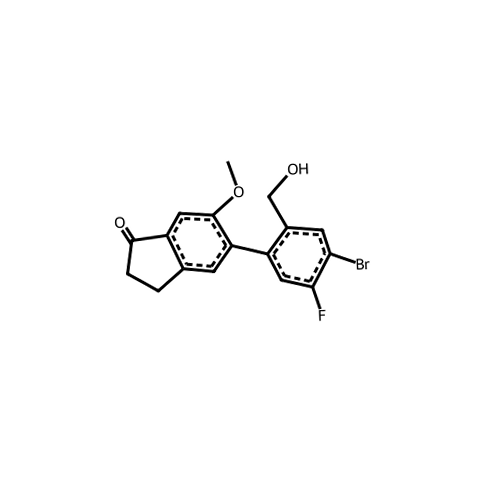 COc1cc2c(cc1-c1cc(F)c(Br)cc1CO)CCC2=O